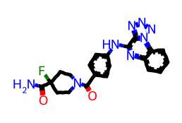 NC(=O)C1(F)CCN(C(=O)c2ccc(Nc3nc4ccccc4n4nnnc34)cc2)CC1